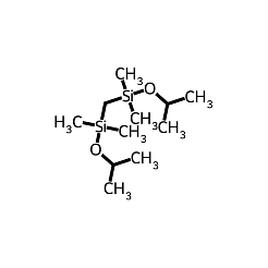 CC(C)O[Si](C)(C)C[Si](C)(C)OC(C)C